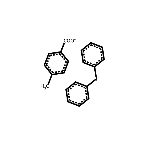 Cc1ccc(C(=O)[O-])cc1.c1ccc([I+]c2ccccc2)cc1